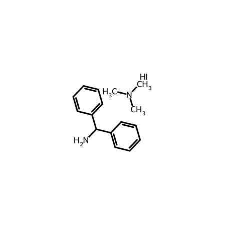 CN(C)C.I.NC(c1ccccc1)c1ccccc1